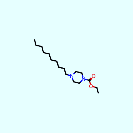 CCCCCCCCCCN1CCN(C(=O)OCC)CC1